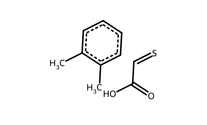 Cc1ccccc1C.O=C(O)C=S